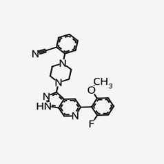 COc1cccc(F)c1-c1cc2c(N3CCN(c4ccccc4C#N)CC3)n[nH]c2cn1